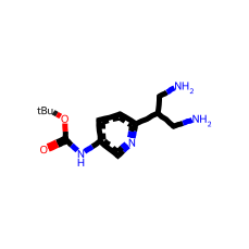 CC(C)(C)OC(=O)Nc1ccc(C(CN)CN)nc1